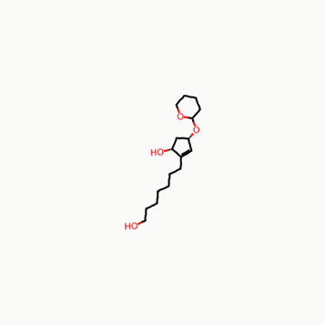 OCCCCCCCC1=C[C@H](OC2CCCCO2)C[C@@H]1O